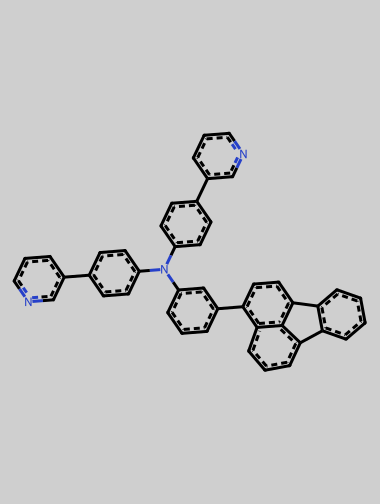 c1cncc(-c2ccc(N(c3ccc(-c4cccnc4)cc3)c3cccc(-c4ccc5c6c(cccc46)-c4ccccc4-5)c3)cc2)c1